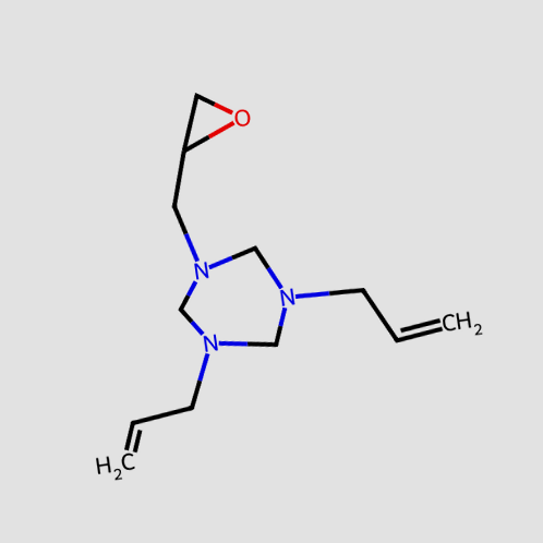 C=CCN1CN(CC=C)CN(CC2CO2)C1